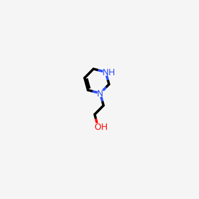 OCCN1C=CCNC1